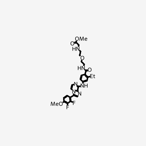 CCc1cc(Nc2nccn3c(-c4ccc(OC)c(F)c4F)cnc23)ccc1C(=O)NCCOCCNCC(=O)OC